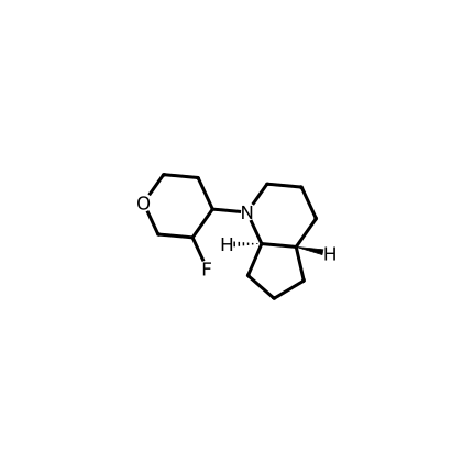 FC1COCCC1N1CCC[C@@H]2CCC[C@H]21